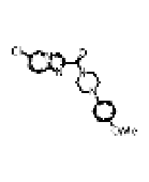 COc1ccc(N2CCN(C(=O)c3cn4cc(Cl)ccc4n3)CC2)cc1